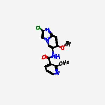 COc1ncccc1C(=O)Nc1cn2cc(Cl)nc2cc1OC(C)C